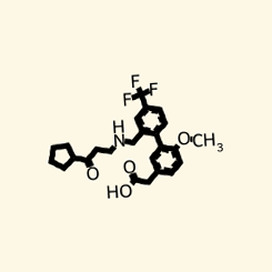 COc1ccc(CC(=O)O)cc1-c1ccc(C(F)(F)F)cc1CNCCC(=O)C1CCCC1